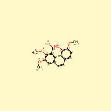 COc1ccc(/C=C\c2cc(CO)c(OC)c(OC)c2)cc1O